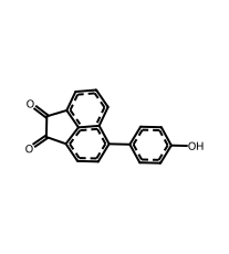 O=C1C(=O)c2ccc(-c3ccc(O)cc3)c3cccc1c23